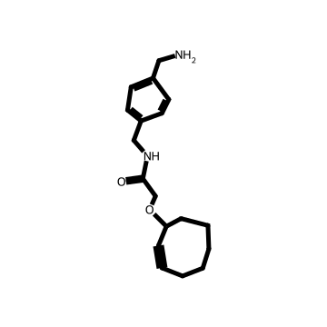 NCc1ccc(CNC(=O)COC2C#CCCCCC2)cc1